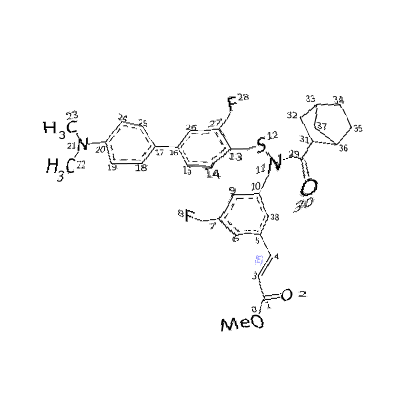 COC(=O)/C=C/c1cc(F)cc(N(Sc2ccc(-c3ccc(N(C)C)cc3)cc2F)C(=O)C2CC3CCC2C3)c1